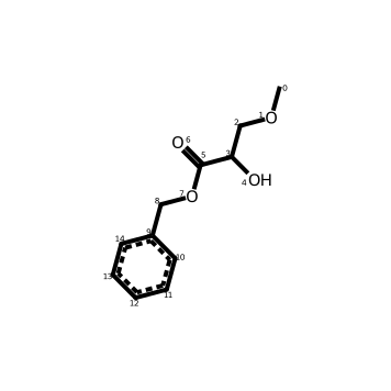 COCC(O)C(=O)OCc1ccccc1